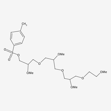 COCCOCC(COCC(COCC(COS(=O)(=O)c1ccc(C)cc1)OC)OC)OC